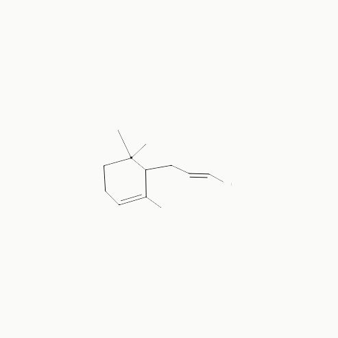 CC/C=C/CC1C(C)=CCCC1(C)C